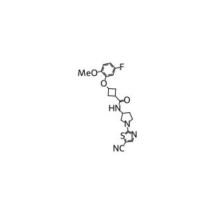 COc1ccc(F)cc1OC1CC(C(=O)NC2CCN(c3ncc(C#N)s3)C2)C1